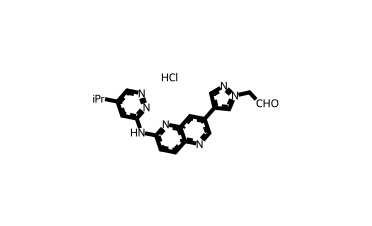 CC(C)c1cnnc(Nc2ccc3ncc(-c4cnn(CC=O)c4)cc3n2)c1.Cl